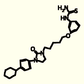 NC(=S)Nc1cccc(OCCCCCN2CCN(c3ccc(C4CCCCC4)cc3)C2=O)c1